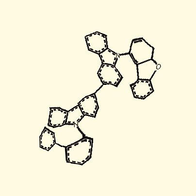 C1=CC(n2c3ccccc3c3cc(-c4ccc5c(c4)c4ccccc4n5-c4ccccc4-c4ccccc4)ccc32)=C2c3ccccc3OC2C1